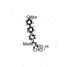 CNC(CN(CC=O)C(=O)O)N1CCN(c2ccc(-c3ccc(OC)cc3)cn2)CC1